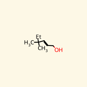 CCC(C)(C)C=CCO